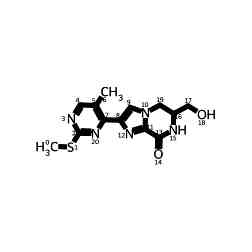 CSc1ncc(C)c(-c2cn3c(n2)C(=O)NC(CO)C3)n1